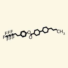 CCCCC1CCC(C2CCC(C(=O)Oc3ccc(CCC(F)(F)C(F)(F)C(F)(F)F)cc3)CC2)CC1